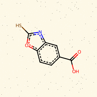 O=C(O)c1ccc2oc(S)nc2c1